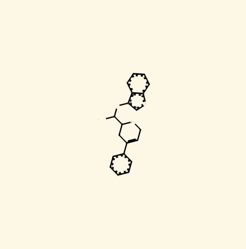 O=CC(Sc1c[nH]c2ccccc12)C1CC(c2ccccc2)=CCN1